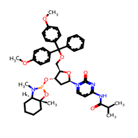 COc1ccc(C(OC[C@H]2O[C@@H](n3ccc(NC(=O)C(C)C)nc3=O)C[C@@H]2O[P@@]2O[C@]3(C)CCCC[C@H]3N2C)(c2ccccc2)c2ccc(OC)cc2)cc1